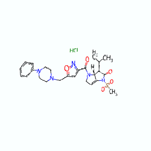 CC(C)[C@H]1C(=O)N(S(C)(=O)=O)C2=CCN(C(=O)c3cc(CN4CCN(c5ccccc5)CC4)on3)[C@@H]21.Cl